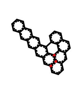 c1ccc2cc3cc4c(-c5cccc6ccc7cc8ccccc8cc7c56)c5ccccc5cc4cc3cc2c1